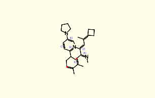 C=C(C)/C(C)=C/C(=N\C)C(=C/C(C)=C1CCC1)/N=C(/C=C\C(=C/C)N1CCCC1)C(C)CC